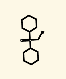 O=P(CBr)(C1CCCCC1)C1CCCCC1